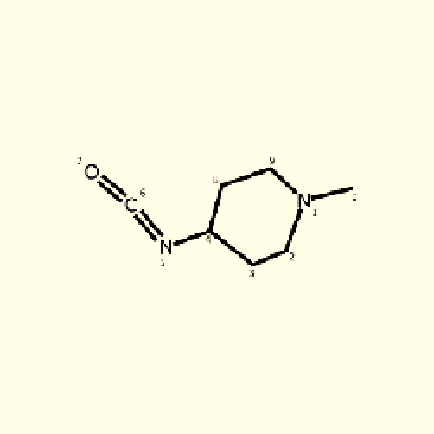 CN1CCC(N=C=O)CC1